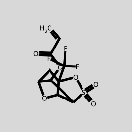 C=CC(=O)OC1C2CC3(C(F)(F)F)OS(=O)(=O)C1C3O2